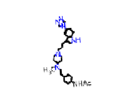 CC(=O)Nc1ccc(CCN(C)C2CCN(CCCc3c[nH]c4ccc(-n5cnnc5)cc34)CC2)cc1